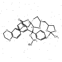 CC1(C)OCC(C[C@@H]2CC[C@@]3(CN(c4ccc5c(c4)OCCO5)C(=O)O3)[C@H](C(O[SiH2]C(C)(C)C)(c3ccccc3)c3ccccc3)O2)O1